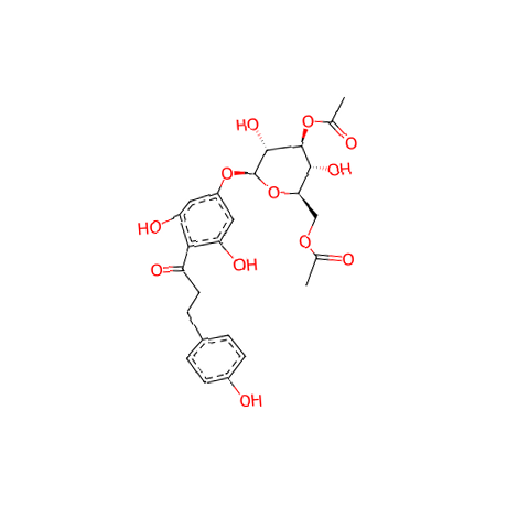 CC(=O)OC[C@H]1O[C@@H](Oc2cc(O)c(C(=O)CCc3ccc(O)cc3)c(O)c2)[C@H](O)[C@@H](OC(C)=O)[C@@H]1O